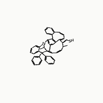 Cc1cc2c3c(c1)N1c4ccccc4C(c4ccccc4)(c4ccccc4)/C(=C/C=C\C(C)C(=C\S)/C2=C\C=C/c2ccccc2-3)C1C